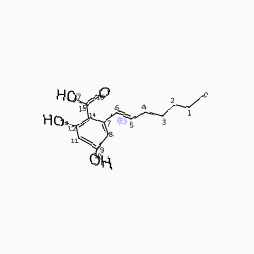 CCCCC/C=C/c1cc(O)cc(O)c1C(=O)O